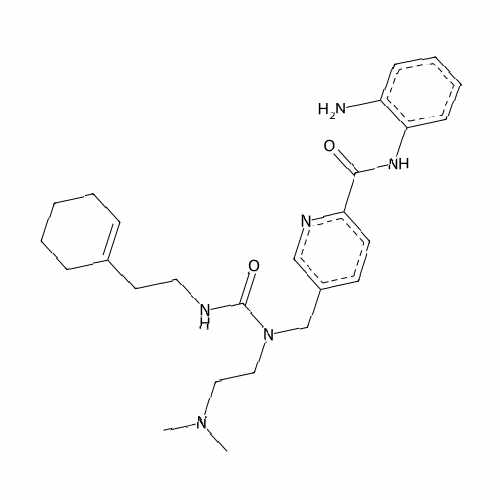 CN(C)CCN(Cc1ccc(C(=O)Nc2ccccc2N)nc1)C(=O)NCCC1=CCCCC1